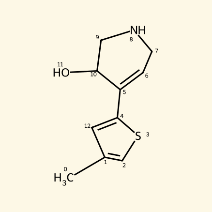 Cc1csc(C2=CCNCC2O)c1